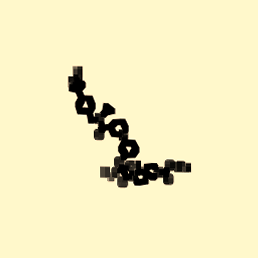 CC(C)(C)OC(=O)N1CCC2(CCN(C(=O)C(C)(C)Oc3cccc(N4CCCC(C(=O)N(Cc5ccc(-c6cn[nH]c6)cc5)C5CC5)C4)c3)C2)C1